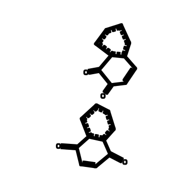 O=C1C=CC(=O)c2ccccc21.O=C1C=Cc2ccccc2C1=O